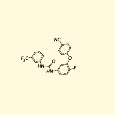 N#Cc1ccc(Oc2cc(NC(=O)Nc3cccc(C(F)(F)F)c3)ccc2F)cc1